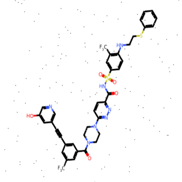 O=C(NS(=O)(=O)c1ccc(NCCSc2ccccc2)c(C(F)(F)F)c1)c1ccc(N2CCN(C(=O)c3cc(C#Cc4cncc(O)c4)cc(C(F)(F)F)c3)CC2)nn1